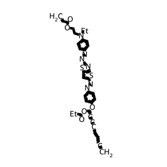 C=C=C=C=C=C=C=C=C(OC(=O)CC)Oc1ccc(N=Nc2cc3sc(N=Nc4ccc(N(CC)CCOC(=O)C=C)cc4)nc3s2)cc1